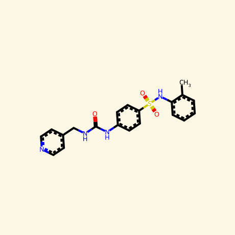 Cc1ccccc1NS(=O)(=O)c1ccc(NC(=O)NCc2ccncc2)cc1